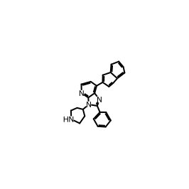 c1ccc(-c2nc3c(-c4ccc5ccccc5c4)ccnc3n2C2CCNCC2)cc1